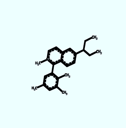 CCC(CC)c1ccc2c(-c3cc(C)cc(C)c3C)[n+](C)ccc2c1